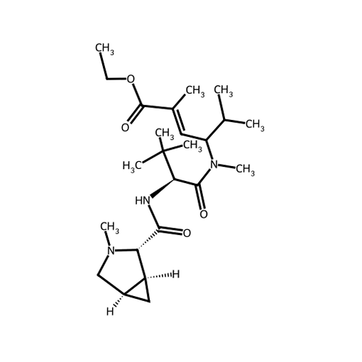 CCOC(=O)/C(C)=C/C(C(C)C)N(C)C(=O)[C@@H](NC(=O)[C@@H]1[C@H]2C[C@H]2CN1C)C(C)(C)C